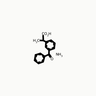 CC(C(=O)O)c1cccc(C(=O)c2ccccc2)c1.N